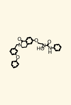 O=C(Nc1ccccc1)N(O)CCOc1ccc2c(c1)CCN(Cc1cccc(Oc3ccccc3)c1)C2=O